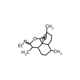 CC/N=C1/OC2OC3(C)CCC4C(C)CCC(C1C)C24OO3